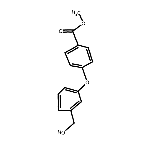 COC(=O)c1ccc(Oc2cccc(CO)c2)cc1